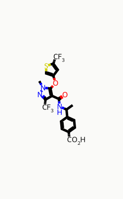 CC(NC(=O)c1c(C(F)(F)F)nn(C)c1Oc1csc(C(F)(F)F)c1)c1ccc(C(=O)O)cc1